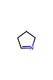 [CH]1CC=NC1